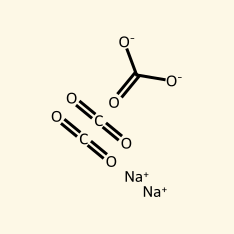 O=C([O-])[O-].O=C=O.O=C=O.[Na+].[Na+]